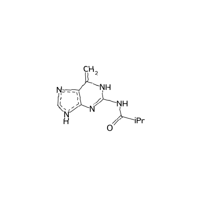 C=C1NC(NC(=O)C(C)C)=Nc2[nH]cnc21